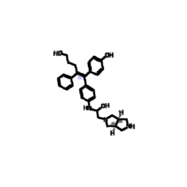 OCCC/C(=C(\c1ccc(O)cc1)c1ccc(NC(O)CN2C[C@H]3CNC[C@H]3C2)cc1)c1ccccc1